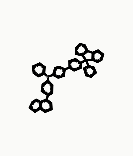 c1ccc(N(c2ccc(-c3ccc(C4(c5ccccc5)c5ccccc5-c5ccccc54)cc3)cc2)c2ccc(-c3cccc4ccccc34)cc2)cc1